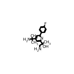 CC(C)(N)c1cc(-c2ccc(F)cc2)nc(C(C)(O)CN)c1